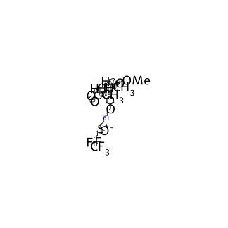 COCO[C@H]1CC[C@H]2[C@@H]3CC[C@H]4CC5(CC[C@]4(C)[C@H]3[C@@H](c3ccc(OC/C=C/CC[S+]([O-])CCCC(F)(F)C(F)(F)F)cc3)C[C@]12C)OCCO5